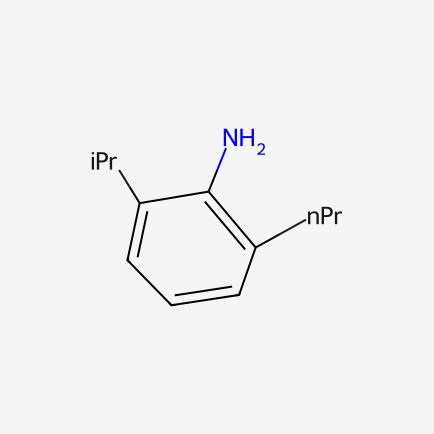 CCCc1cccc(C(C)C)c1N